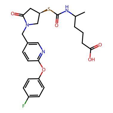 CC(CCCC(=O)O)NC(=O)S[C@@H]1CC(=O)N(Cc2ccc(Oc3ccc(F)cc3)nc2)C1